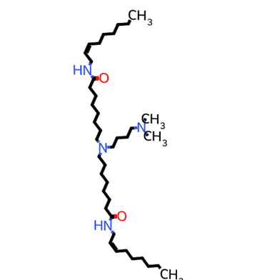 CCCCCC/C=C\CNC(=O)CCCCCCCN(CCCCCCCC(=O)NC/C=C\CCCCCC)CCCCN(C)C